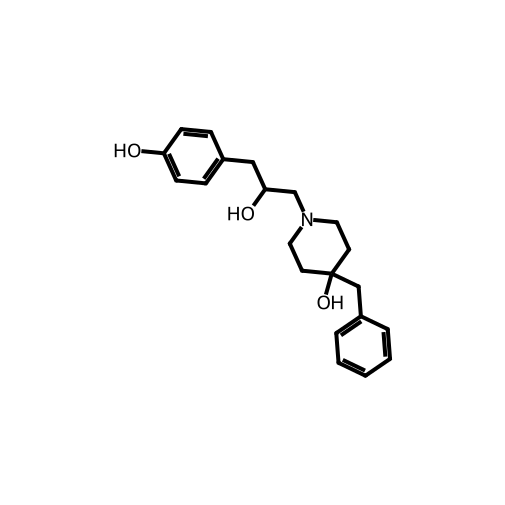 Oc1ccc(CC(O)CN2CCC(O)(Cc3ccccc3)CC2)cc1